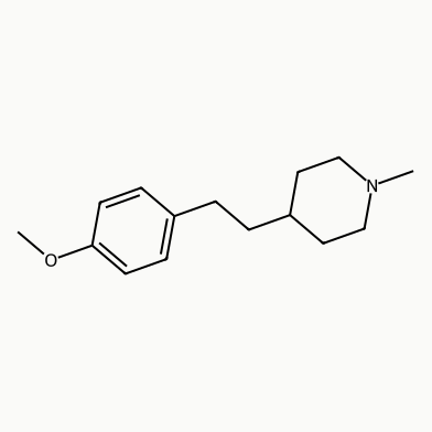 COc1ccc(CCC2CCN(C)CC2)cc1